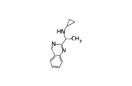 CC(NC1CC1)c1ncc2ccccc2n1